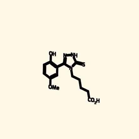 COc1ccc(O)c(-c2n[nH]c(=S)n2CCCCC(=O)O)c1